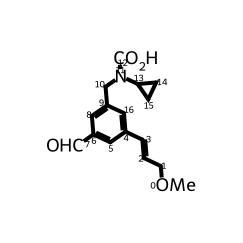 COCC=Cc1cc(C=O)cc(CN(C(=O)O)C2CC2)c1